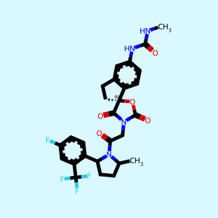 CNC(=O)Nc1ccc2c(c1)CC[C@@]21OC(=O)N(CC(=O)N2C(C)CCC2c2ccc(F)cc2C(F)(F)F)C1=O